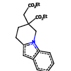 CCOC(=O)CC1(C(=O)OCC)CCc2cc3ccccc3n2C1